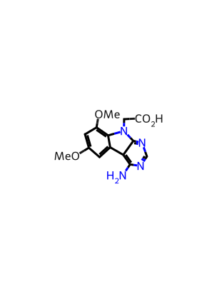 COc1cc(OC)c2c(c1)c1c(N)ncnc1n2CC(=O)O